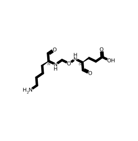 NCCCC[C@@H](C=O)NCON[C@H](C=O)CCC(=O)O